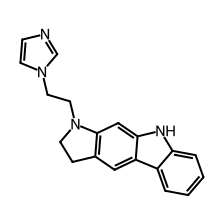 c1ccc2c(c1)[nH]c1cc3c(cc12)CCN3CCn1ccnc1